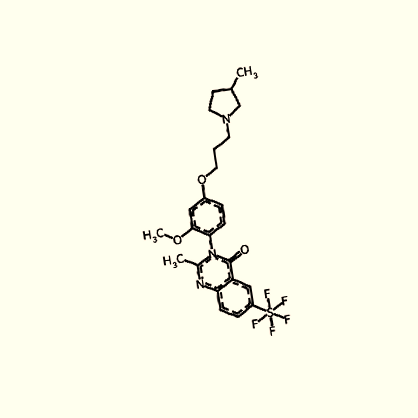 COc1cc(OCCCN2CCC(C)C2)ccc1-n1c(C)nc2ccc(S(F)(F)(F)(F)F)cc2c1=O